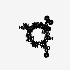 CCC(C)[C@@H]1NC(=O)[C@@H](CCCNC(=N)N)NC(=O)[C@H](CC(C)C)NC(=O)[C@H]([C@H](O)C(C)C)NC(=O)[C@@H](NC(=O)OCC2c3ccccc3-c3ccccc32)[C@@H](c2ccccc2)NC(=O)C(CO)NC(=O)[C@H](CCCNC(=O)OCc2ccccc2)NC(=O)CNC(=O)[C@H]([C@H](C)O)NC1=O